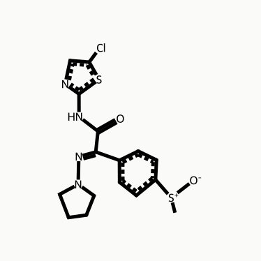 C[S+]([O-])c1ccc(/C(=N\N2CCCC2)C(=O)Nc2ncc(Cl)s2)cc1